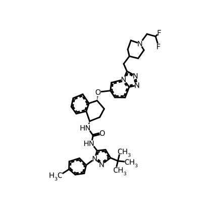 Cc1ccc(-n2nc(C(C)(C)C)cc2NC(=O)N[C@H]2CC[C@@H](Oc3ccc4nnc(CC5CCN(CC(F)F)CC5)n4c3)c3ccccc32)cc1